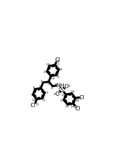 O=S(=O)(NCC(Cc1ccc(Cl)cc1)c1ccc(Cl)cc1)c1ccc(Cl)c(Cl)c1